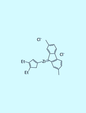 CCC1=C(CC)C[C]([Zr+2][CH]2c3cc(C)ccc3-c3ccc(C)cc32)=C1.[Cl-].[Cl-]